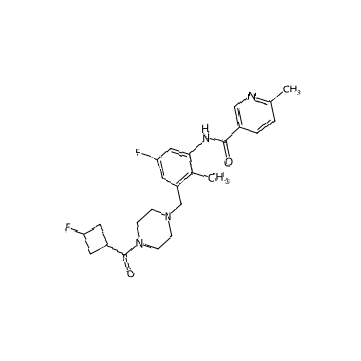 Cc1ccc(C(=O)Nc2cc(F)cc(CN3CCN(C(=O)C4CC(F)C4)CC3)c2C)cn1